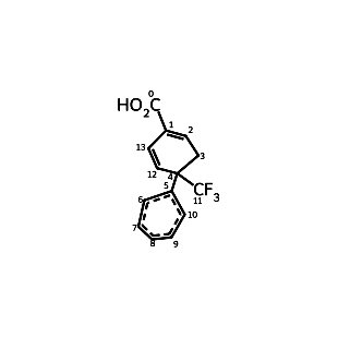 O=C(O)C1=CCC(c2ccccc2)(C(F)(F)F)C=C1